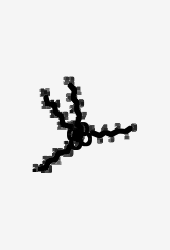 CCCCCCC[O][V]([O]CCCCCCC)([O]CCCCCCC)[O]CCCCCCC